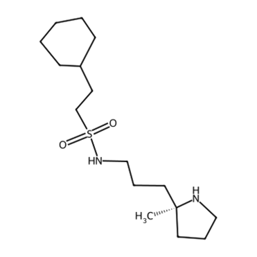 C[C@@]1(CCCNS(=O)(=O)CCC2CCCCC2)CCCN1